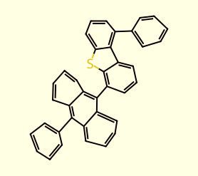 c1ccc(-c2c3ccccc3c(-c3cccc4c3sc3cccc(-c5ccccc5)c34)c3ccccc23)cc1